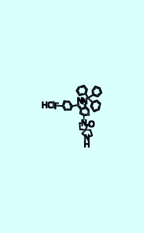 Cl.O=C1N(c2ccc3c(c2)c(-c2ccc(F)cc2)nn3C(c2ccccc2)(c2ccccc2)c2ccccc2)CC[C@]12CCNC2